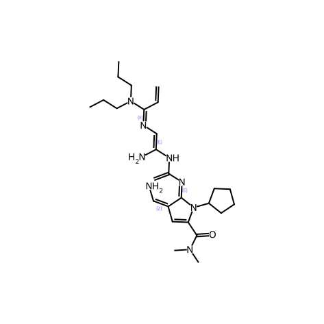 C=C/C(=N\C=C(/N)NC(=C)/N=C1\C(=C/N)C=C(C(=O)N(C)C)N1C1CCCC1)N(CCC)CCC